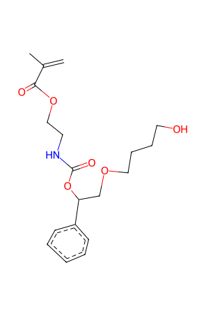 C=C(C)C(=O)OCCNC(=O)OC(COCCCCO)c1ccccc1